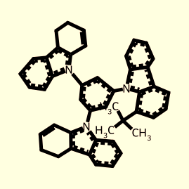 CC(C)(C)c1cccc2c3ccccc3n(-c3cc(-n4c5c(c6ccccc64)CCC=C5)cc(-n4c5c(c6ccccc64)CCC=C5)c3)c12